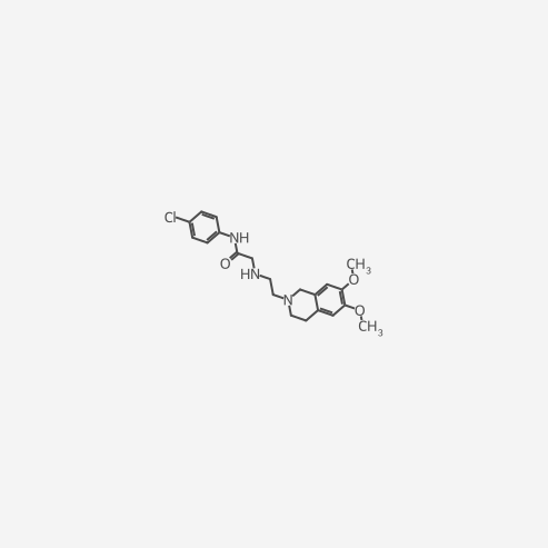 COc1cc2c(cc1OC)CN(CCNCC(=O)Nc1ccc(Cl)cc1)CC2